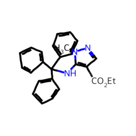 CCOC(=O)c1cnn(C)c1NC(c1ccccc1)(c1ccccc1)c1ccccc1